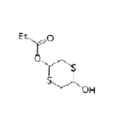 CCC(=O)OC1CSC(O)CS1